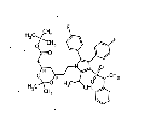 CC(C)c1c(S(=O)(=O)N(C)c2ccccc2)c(-c2ccc(F)cc2)c(-c2ccc(F)cc2)n1CC[C@@H]1C[C@H](CC(=O)OC(C)(C)C)OC(C)(C)O1